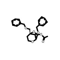 CC(=O)OC1O[C@@]2(COCc3ccccc3)CCOC1C2OCc1ccccc1